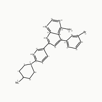 N#CC1CCN(c2ccc(-c3cc(-c4cccc(Br)c4)c4c(N)ncnc4n3)cn2)CC1